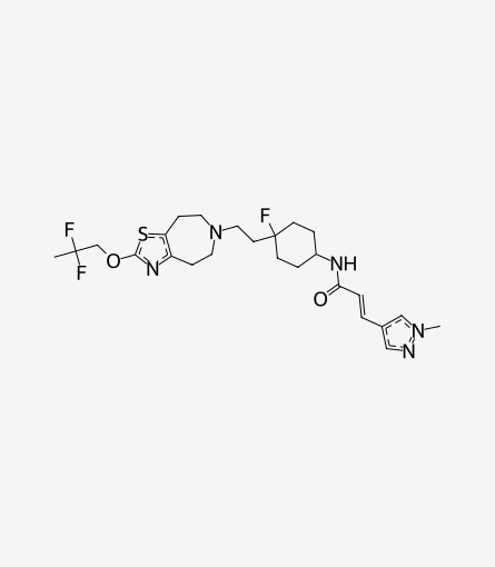 Cn1cc(/C=C/C(=O)NC2CCC(F)(CCN3CCc4nc(OCC(C)(F)F)sc4CC3)CC2)cn1